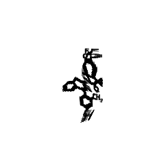 Cc1cc(S)ccc1-c1nc(NC(=O)C2(c3ccc4c(c3)OC(F)(F)O4)CC2)cc2ccccc12